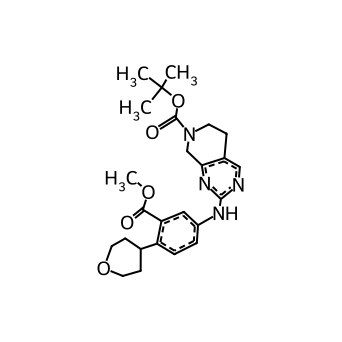 COC(=O)c1cc(Nc2ncc3c(n2)CN(C(=O)OC(C)(C)C)CC3)ccc1C1CCOCC1